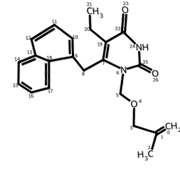 C=C(C)COCn1c(Cc2cccc3ccccc23)c(CC)c(=O)[nH]c1=O